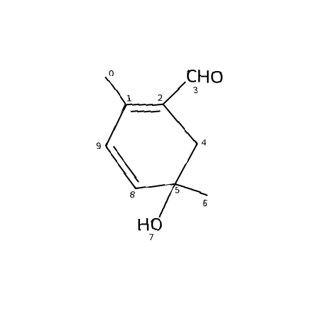 CC1=C(C=O)CC(C)(O)C=C1